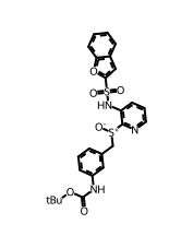 CC(C)(C)OC(=O)Nc1cccc(C[S+]([O-])c2ncccc2NS(=O)(=O)c2cc3ccccc3o2)c1